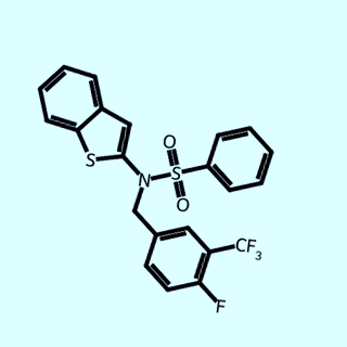 O=S(=O)(c1ccccc1)N(Cc1ccc(F)c(C(F)(F)F)c1)c1cc2ccccc2s1